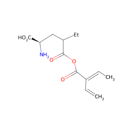 C=CC(=CC)C(=O)OC(=O)C(CC)C[C@@H](N)C(=O)O